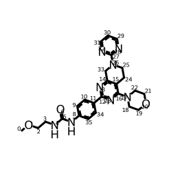 COCCNC(=O)Nc1ccc(-c2nc3c(c(N4CCOCC4)n2)CCN(c2ncccn2)C3)cc1